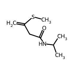 C=C(CC(=O)NC(C)C)SC